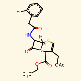 CCc1ccccc1CC(=O)NC1C(=O)N2C(C(=O)OCC(Cl)(Cl)Cl)C(COC(C)=O)=CS[C@@H]12